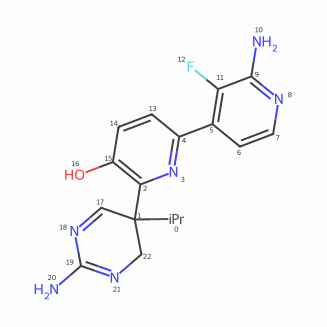 CC(C)C1(c2nc(-c3ccnc(N)c3F)ccc2O)C=NC(N)=NC1